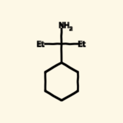 CCC(N)(CC)C1CCCCC1